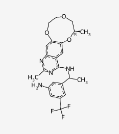 Cc1nc(NC(C)c2cc(N)cc(C(F)(F)F)c2)c2cc3c(cc2n1)OCCOC[C@@H](C)O3